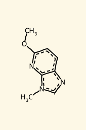 COc1ccc2n[c]n(C)c2n1